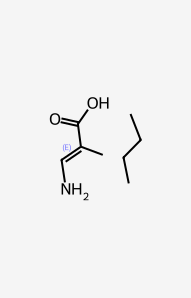 C/C(=C\N)C(=O)O.CCCC